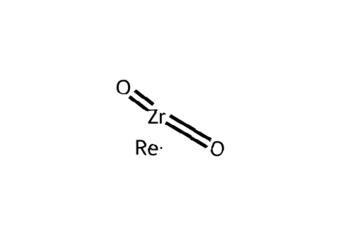 [O]=[Zr]=[O].[Re]